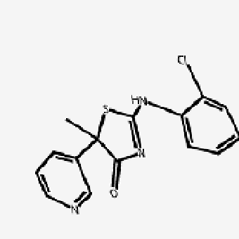 CC1(c2cccnc2)SC(Nc2ccccc2Cl)=NC1=O